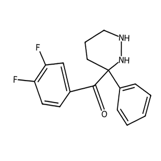 O=C(c1ccc(F)c(F)c1)C1(c2ccccc2)CCCNN1